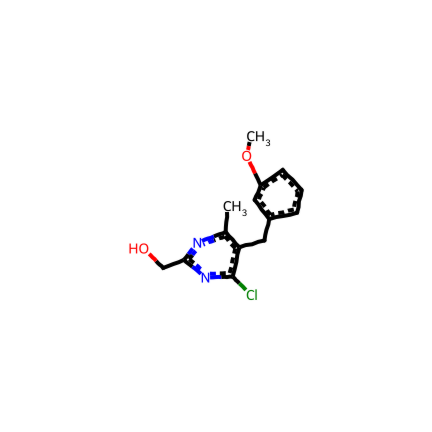 COc1cccc(Cc2c(C)nc(CO)nc2Cl)c1